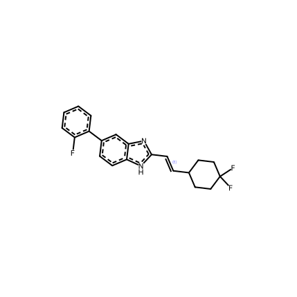 Fc1ccccc1-c1ccc2[nH]c(/C=C/C3CCC(F)(F)CC3)nc2c1